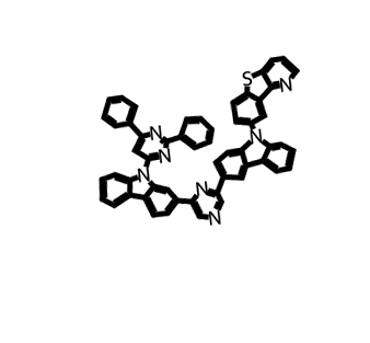 c1ccc(-c2cc(-n3c4ccccc4c4ccc(-c5cncc(-c6ccc7c(c6)c6ccccc6n7-c6ccc7sc8cccnc8c7c6)n5)cc43)nc(-c3ccccc3)n2)cc1